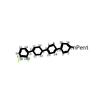 CCCCCc1ccc(-c2ccc(C3CC=C(c4cccc(F)c4F)CC3)cc2)cc1